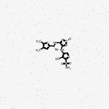 Cc1cc([C@H](Nc2n[s+]([O-])nc2Nc2csc(S(N)(=O)=O)c2O)C(C)C)sc1C